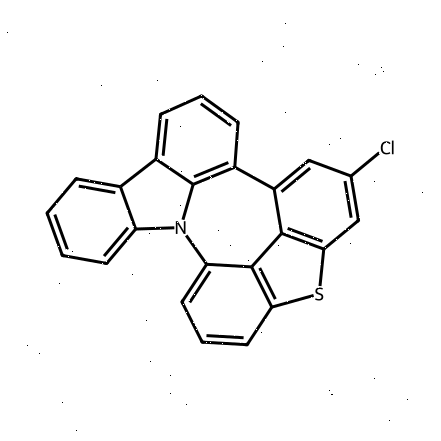 Clc1cc2sc3cccc4c3c2c(c1)c1cccc2c3ccccc3n4c12